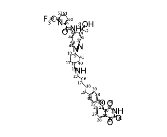 CC(C)(O)c1cc2nn([C@H]3CC[C@H](CNCCCCCc4ccc(Oc5cccc6c5C(=O)NC(=O)C6=O)cc4)CC3)cc2cc1NC(=O)c1cccc(C(F)(F)F)n1